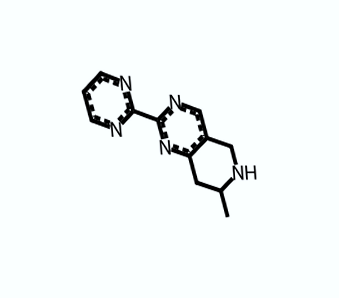 CC1Cc2nc(-c3ncccn3)ncc2CN1